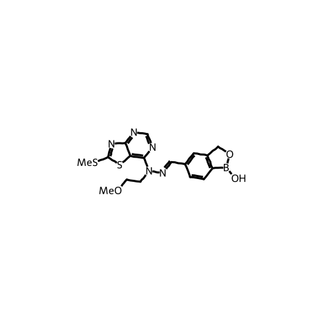 COCCN(/N=C/c1ccc2c(c1)COB2O)c1ncnc2nc(SC)sc12